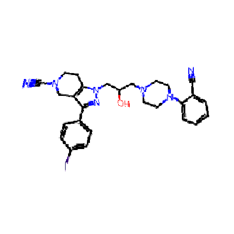 N#Cc1ccccc1N1CCN(CC(O)Cn2nc(-c3ccc(I)cc3)c3c2CCN(C#N)C3)CC1